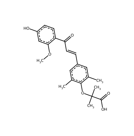 COc1cc(O)ccc1C(=O)/C=C/c1cc(C)c(OC(C)(C)C(=O)O)c(C)c1